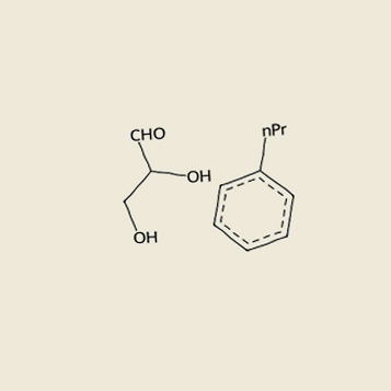 CCCc1ccccc1.O=CC(O)CO